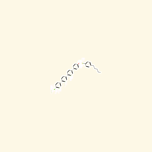 CCCCCc1ccc(C(F)(F)Oc2ccc(-c3ccc(-c4ccc(-c5ccc(C(F)(F)F)c(F)c5)c(F)c4)c(F)c3)cc2)cc1